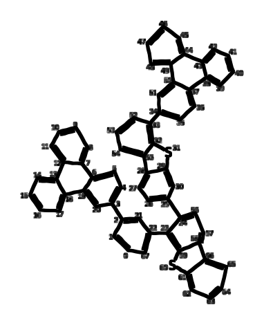 c1cc(-c2ccc3c4ccccc4c4ccccc4c3c2)cc(-c2c(-c3ccc4c(c3)sc3c(-c5ccc6c7ccccc7c7ccccc7c6c5)cccc34)ccc3c2sc2ccccc23)c1